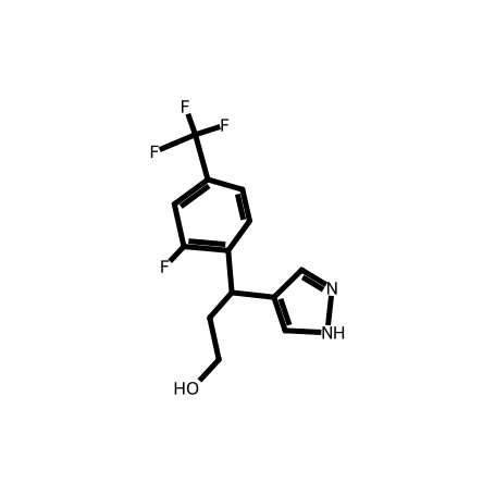 OCCC(c1cn[nH]c1)c1ccc(C(F)(F)F)cc1F